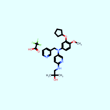 COc1ccc(N(Cc2cccnc2)c2ccc(NCC(C)(C)O)nc2)cc1OC1CCCC1.O=C(O)C(F)(F)F